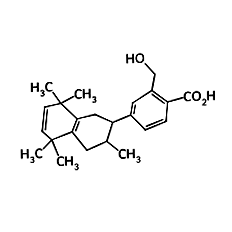 CC1CC2=C(CC1c1ccc(C(=O)O)c(CO)c1)C(C)(C)C=CC2(C)C